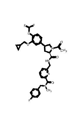 CC(=O)N1CC(c2ccc(OC(F)F)c(OCC3CC3)c2)C[C@@H]1C(=O)NCc1cccc(C(=O)N(C)Cc2ccc(F)cc2)n1